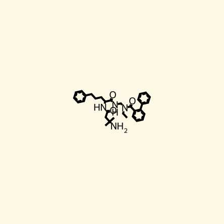 CCN(CNC(=O)C(CCCc1ccccc1)NC(=O)CC(C)(C)N)C(=O)c1ccccc1-c1ccccc1